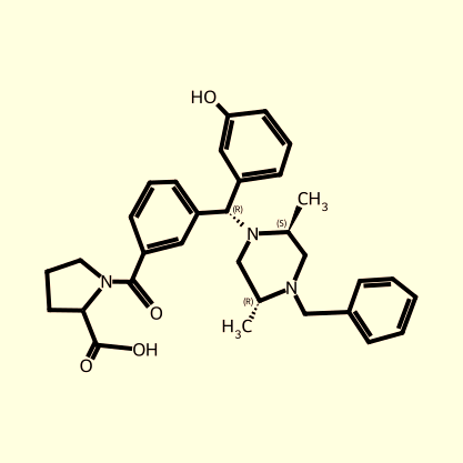 C[C@@H]1CN([C@@H](c2cccc(O)c2)c2cccc(C(=O)N3CCCC3C(=O)O)c2)[C@@H](C)CN1Cc1ccccc1